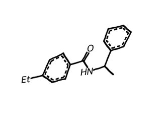 CCc1ccc(C(=O)NC(C)c2ccccc2)cc1